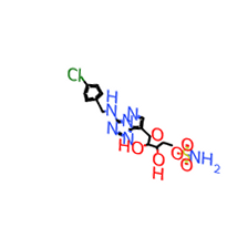 NS(=O)(=O)OCC1OC(c2cnn3c(NCc4ccc(Cl)cc4)ncnc23)C(O)C1O